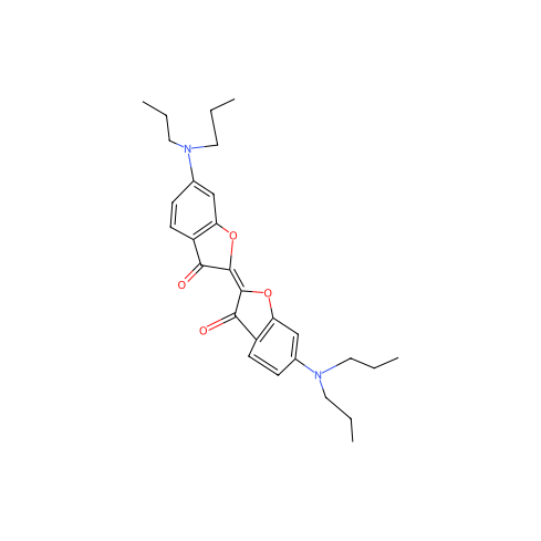 CCCN(CCC)c1ccc2c(c1)O/C(=C1\Oc3cc(N(CCC)CCC)ccc3C1=O)C2=O